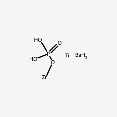 O=P(O)(O)[O][Zr].[BaH2].[Ti]